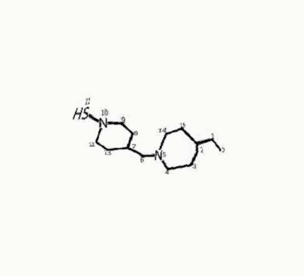 CCC1CCN(CC2CCN(S)CC2)CC1